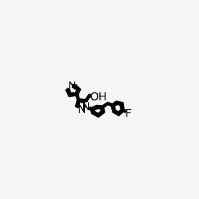 OCc1c(-c2ccncc2)cnn1-c1cccc(Cc2ccc(F)cc2)c1